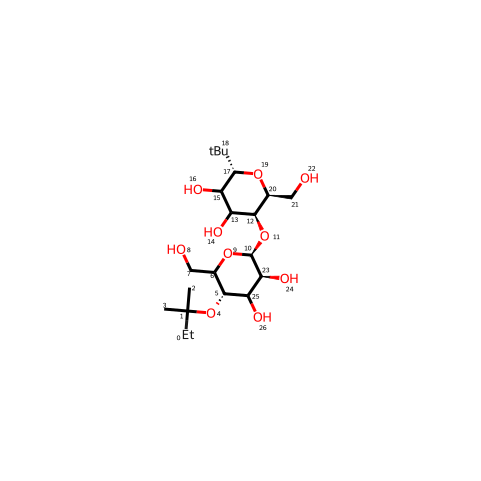 CCC(C)(C)O[C@@H]1C(CO)O[C@@H](O[C@H]2C(O)C(O)[C@H](C(C)(C)C)O[C@H]2CO)[C@@H](O)C1O